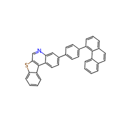 c1ccc2c(c1)ccc1cccc(-c3ccc(-c4ccc5c(c4)ncc4sc6ccccc6c45)cc3)c12